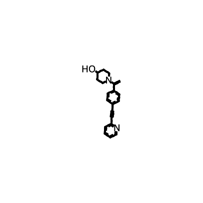 C=C(c1ccc(C#Cc2ccccn2)cc1)N1CCC(O)CC1